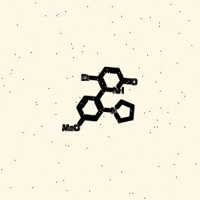 CCc1ccc(=O)[nH]c1-c1ccc(OC)cc1N1CCCC1